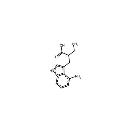 NCC(Cc1c[nH]c2cccc(N)c12)C(=O)O